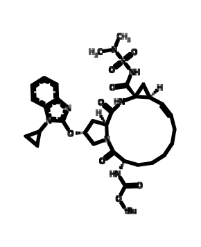 CN(C)S(=O)(=O)NC(=O)[C@@]12C[C@H]1/C=C\CCCCC[C@H](NC(=O)OC(C)(C)C)C(=O)N1C[C@H](Oc3nc4ccccc4n3C3CC3)C[C@H]1C(=O)N2